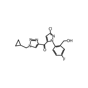 O=C(c1cn(CC2CC2)nn1)c1cc(Cl)nn1-c1ccc(F)cc1CO